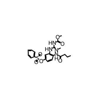 CCCC(=O)Nc1ccc(OS(=O)(=O)c2ccccc2)cc1NC(=NC)NC(=O)OC